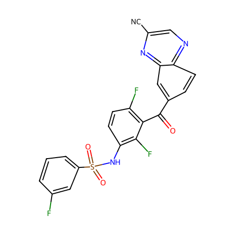 N#Cc1cnc2ccc(C(=O)c3c(F)ccc(NS(=O)(=O)c4cccc(F)c4)c3F)cc2n1